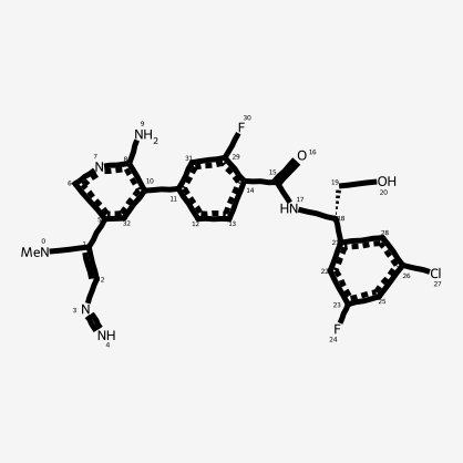 CN/C(=C\N=N)c1cnc(N)c(-c2ccc(C(=O)N[C@H](CO)c3cc(F)cc(Cl)c3)c(F)c2)c1